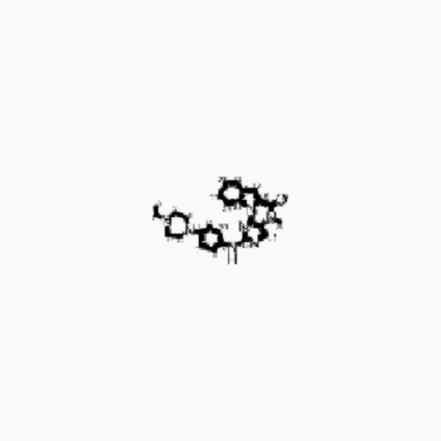 CCN1CCN(c2ccc(Nc3ncc4c(n3)n3c(cc5ccccc53)c(=O)n4C)cc2)CC1